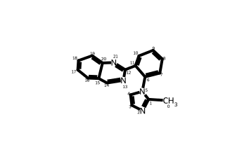 Cc1nccn1-c1ccccc1-c1ncc2ccccc2n1